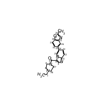 CCN1CCN(C(=O)c2cnc3ccc(-c4ccc5oc(C)nc5c4)cn23)CC1